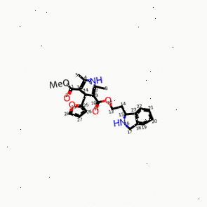 COC(=O)C1=C(C)NC(C)=C(C(=O)OCCC2NCc3ccccc32)C1c1ccco1